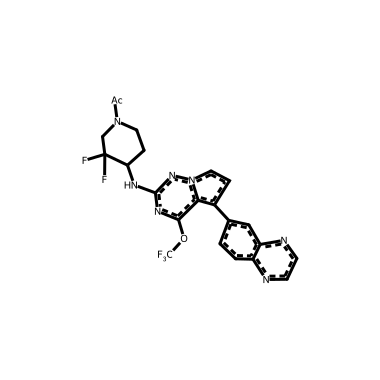 CC(=O)N1CCC(Nc2nc(OC(F)(F)F)c3c(-c4ccc5nccnc5c4)ccn3n2)C(F)(F)C1